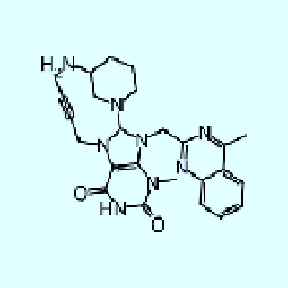 CC#CCN1c2c(n(C)c(=O)[nH]c2=O)N(Cc2nc(C)c3ccccc3n2)C1N1CCC[C@H](N)C1